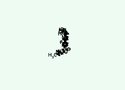 Cc1cn(C[C@H]2CN(c3ccc(-c4ccc(C5(NC(=O)OC(C)(C)C)CC5)nc4)c(F)c3)C(=O)O2)nn1